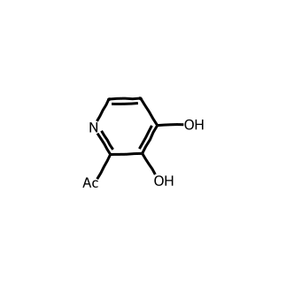 CC(=O)c1nccc(O)c1O